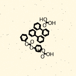 O=C(O)O.O=C(O)O.O=C(Oc1ccccc1)Oc1ccccc1.c1ccc(-c2ccccc2)cc1.c1ccc(-c2ccccc2)cc1